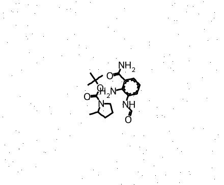 CC1CCCN1C(=O)OC(C)(C)C.NC(=O)c1cccc(NC=O)c1N